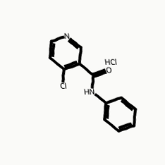 Cl.O=C(Nc1ccccc1)c1cnccc1Cl